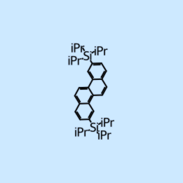 CC(C)[Si](c1ccc2ccc3c4cc([Si](C(C)C)(C(C)C)C(C)C)ccc4ccc3c2c1)(C(C)C)C(C)C